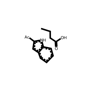 CC(=O)c1cc2ccccc2[nH]1.CCCC(=O)O